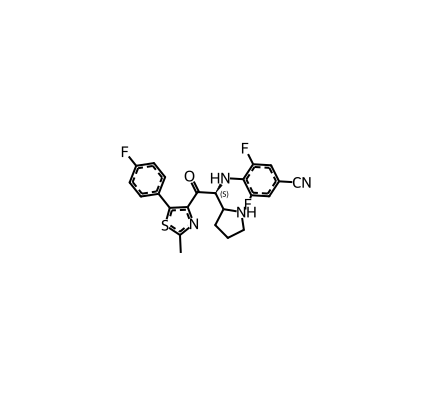 Cc1nc(C(=O)[C@@H](Nc2c(F)cc(C#N)cc2F)C2CCCN2)c(-c2ccc(F)cc2)s1